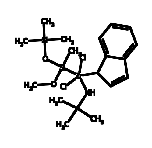 CO[Si](C)(O[Si](C)(C)C)[Zr]([Cl])([Cl])([NH]C(C)(C)C)[CH]1C=Cc2ccccc21